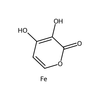 O=c1occc(O)c1O.[Fe]